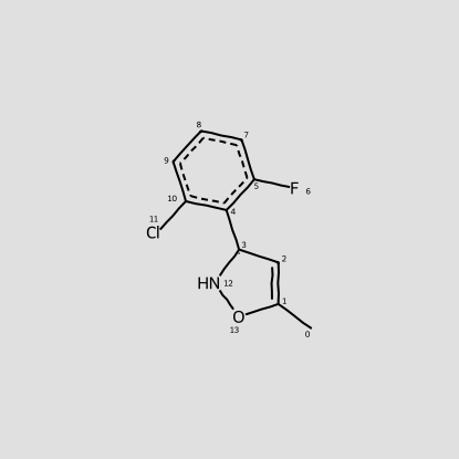 CC1=C[C](c2c(F)cccc2Cl)NO1